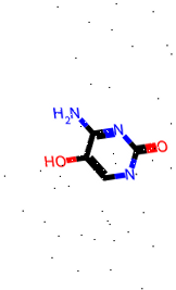 NC1=NC(=O)[N]C=C1O